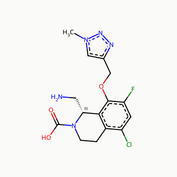 Cn1cc(COc2c(F)cc(Cl)c3c2[C@@H](CN)N(C(=O)O)CC3)nn1